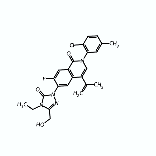 C=C(C)c1cn(-c2cc(C)ccc2Cl)c(=O)c2cc(F)c(-n3nc(CO)n(CC)c3=O)cc12